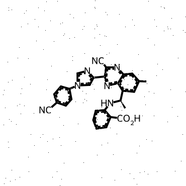 Cc1cc([C@@H](C)Nc2ccccc2C(=O)O)c2nc(-c3cn(-c4ccc(C#N)cc4)cn3)c(C#N)nc2c1